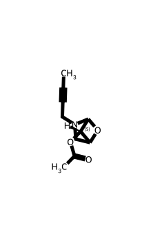 CC#CCN1CC2OC1[C@H]2OC(C)=O